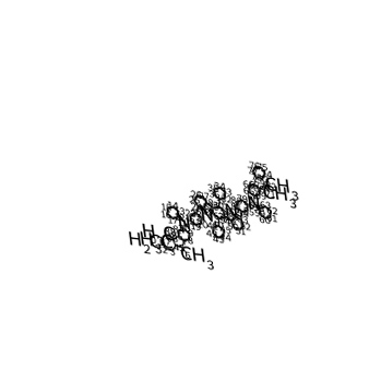 C=C/C=C\C1=C(C)c2ccc(N(c3ccccc3)c3ccc4c(c3)c3cccc5c6c(-c7ccccc7)c7c(c(-c8ccccc8)c6n4c35)c3cccc4c5cc(N(c6ccccc6)c6ccc8c(c6)C(C)(C)c6ccccc6-8)ccc5n7c43)cc2C1(C)C